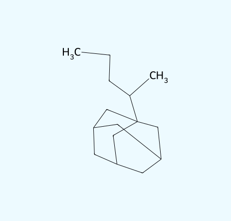 CCCC(C)C12CC3CC(CC(C3)C1)C2